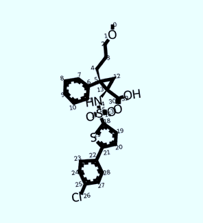 COCCC[C@@]1(c2ccccc2)C[C@]1(NS(=O)(=O)c1ccc(-c2ccc(Cl)cc2)s1)C(=O)O